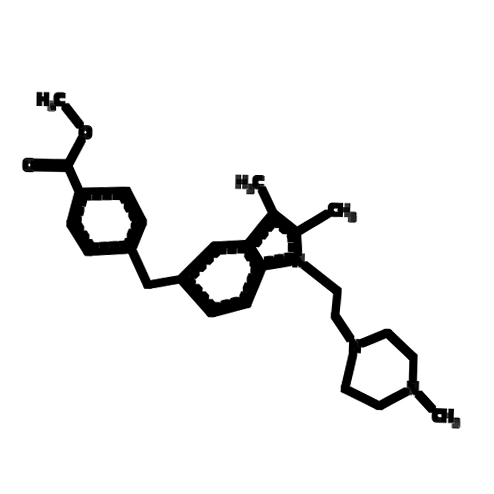 COC(=O)c1ccc(Cc2ccc3c(c2)c(C)c(C)n3CCN2CCN(C)CC2)cc1